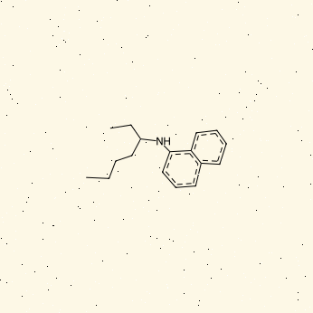 CCCCC(CC)Nc1cccc2ccccc12